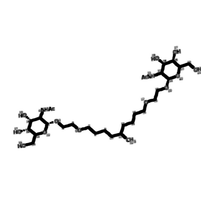 CC(=O)NC1[C@H](OCCOCCCCC(C)CCCCOCCO[C@@H]2OC(CO)[C@H](O)[C@H](O)C2NC(C)=O)OC(CO)[C@H](O)[C@@H]1O